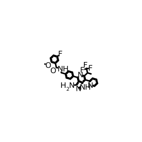 COc1ccc(F)cc1C(=O)NCc1ccc(-c2nc(C(C)C(F)(F)F)c(-c3ccccn3)c3[nH]nc(N)c23)cc1